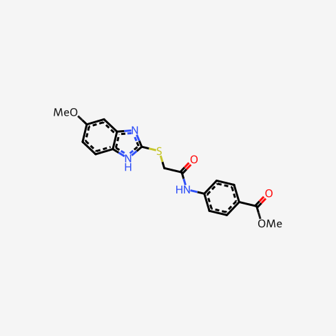 COC(=O)c1ccc(NC(=O)CSc2nc3cc(OC)ccc3[nH]2)cc1